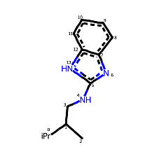 CC(C)C(C)CNc1nc2ccccc2[nH]1